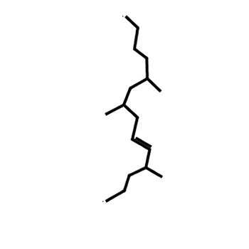 [CH2]CCCC(C)CC(C)CC=CC(C)CC[CH2]